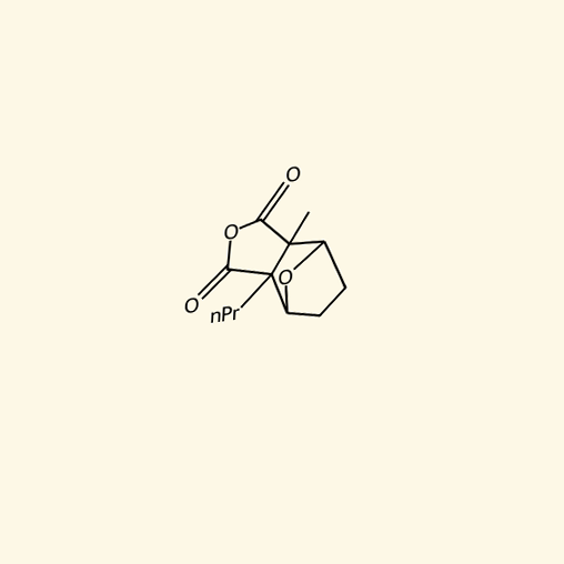 CCCC12C(=O)OC(=O)C1(C)C1CCC2O1